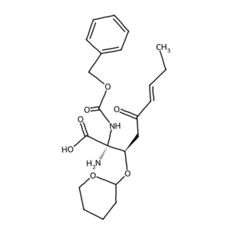 CCC=CC(=O)C[C@@H](OC1CCCCO1)[C@](N)(NC(=O)OCc1ccccc1)C(=O)O